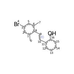 Cc1cc(Br)cc(C)c1/C=C/c1ccccc1O